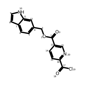 O=C(OCc1ccc2cc[nH]c2c1)c1ccc(C(=O)Cl)nc1